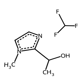 CC(O)c1nccn1C.FC(F)F